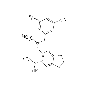 CCCC(CCC)c1cc2c(cc1CN(Cc1cc(C#N)cc(C(F)(F)F)c1)C(=O)O)CCC2